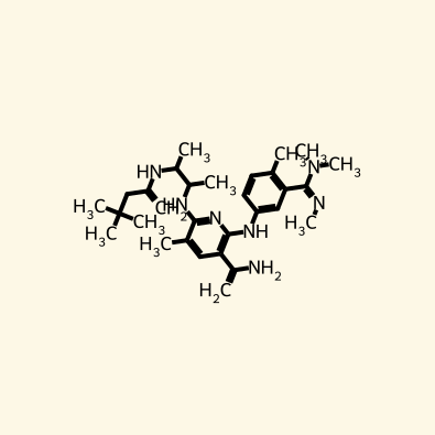 C=C(CC(C)(C)C)NC(C)C(C)Nc1nc(Nc2ccc(C)c(/C(=N\C)N(C)C)c2)c(C(=C)N)cc1C